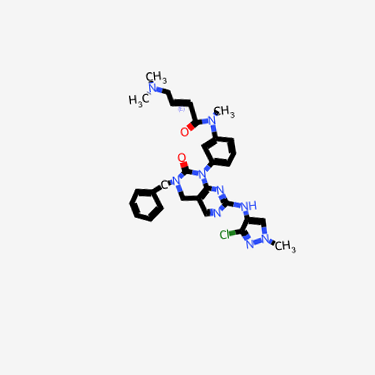 CN(C)C/C=C/C(=O)N(C)c1cccc(N2C(=O)N(Cc3ccccc3)Cc3cnc(Nc4cn(C)nc4Cl)nc32)c1